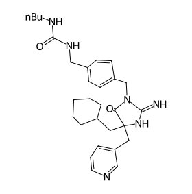 CCCCNC(=O)NCc1ccc(CN2C(=N)NC(Cc3cccnc3)(CC3CCCCC3)C2=O)cc1